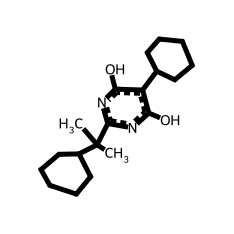 CC(C)(c1nc(O)c(C2CCCCC2)c(O)n1)C1CCCCC1